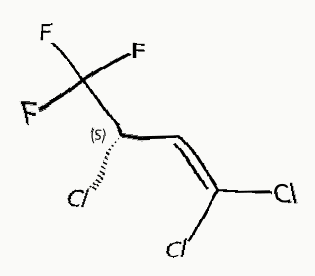 FC(F)(F)[C@@H](Cl)C=C(Cl)Cl